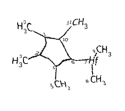 CC1C(C)C(C)[CH]([Hf]([CH3])[CH3])C1C